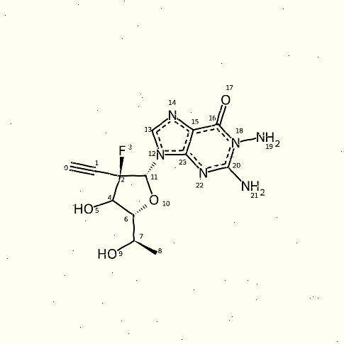 C#C[C@@]1(F)C(O)[C@@H]([C@@H](C)O)O[C@H]1n1cnc2c(=O)n(N)c(N)nc21